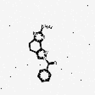 CC(=O)Nc1nc2c(s1)-c1nn(C(=O)c3ccccc3)cc1CC2